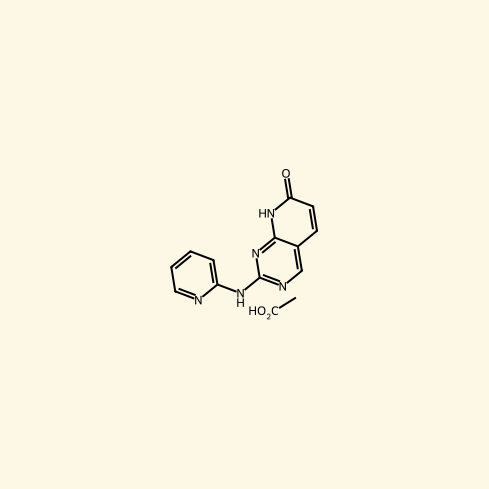 CC(=O)O.O=c1ccc2cnc(Nc3ccccn3)nc2[nH]1